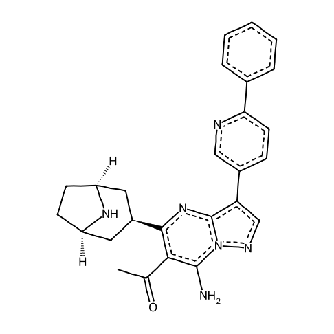 CC(=O)c1c([C@H]2C[C@H]3CC[C@@H](C2)N3)nc2c(-c3ccc(-c4ccccc4)nc3)cnn2c1N